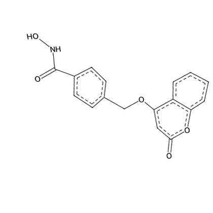 O=C(NO)c1ccc(COc2cc(=O)oc3ccccc23)cc1